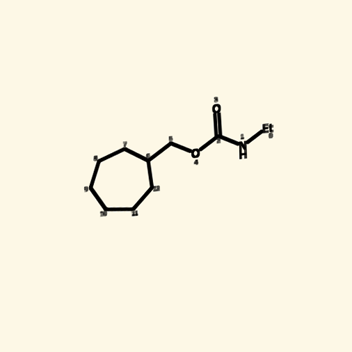 CCNC(=O)OCC1CCCCCC1